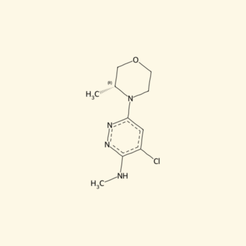 CNc1nnc(N2CCOC[C@H]2C)cc1Cl